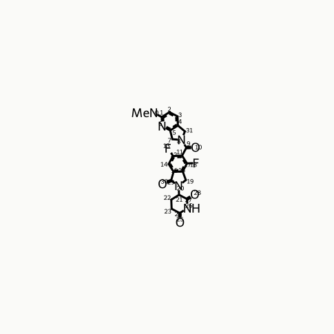 CNc1ccc2c(n1)CN(C(=O)c1c(F)cc3c(c1F)CN(C1CCC(=O)NC1=O)C3=O)C2